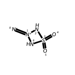 [N-]=[N+]1NS(=O)(=O)N1